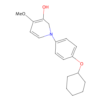 COC1=C(O)CN(c2ccc(OC3CCCCC3)cc2)C=C1